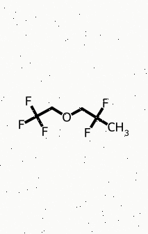 CC(F)(F)COCC(F)(F)F